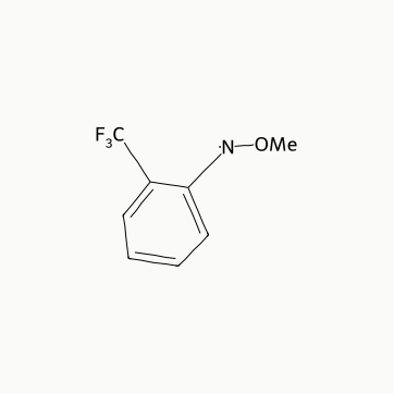 CO[N]c1ccccc1C(F)(F)F